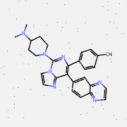 CN(C)C1CCN(c2nc(-c3ccc(C#N)cc3)c(-c3ccc4nccnc4c3)c3nccn23)CC1